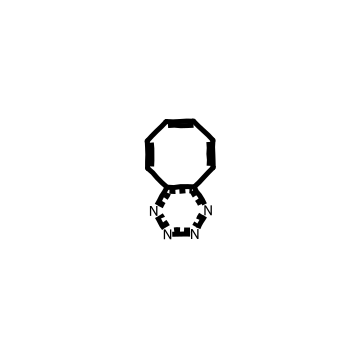 C1=CC=Cc2nnnnc2C=C1